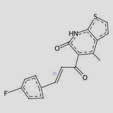 Cc1c(C(=O)/C=C/c2ccc(F)cc2)c(=O)[nH]c2sccc12